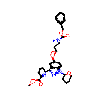 COC(=O)c1cccc(-c2nn(C3CCCCO3)c3ccc(OCCCNC(=O)OCc4ccccc4)cc23)n1